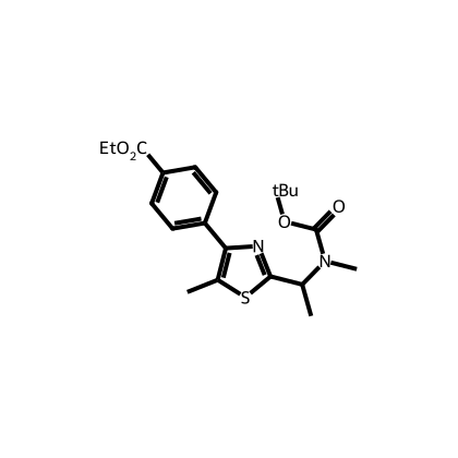 CCOC(=O)c1ccc(-c2nc(C(C)N(C)C(=O)OC(C)(C)C)sc2C)cc1